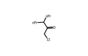 CCCC(CCC)C(=O)CCl